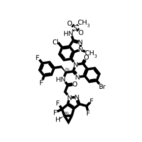 Cn1nc(NS(C)(=O)=O)c2c(Cl)ccc(-n3c([C@H](Cc4cc(F)cc(F)c4)NC(=O)Cn4nc(C(F)F)c5c4C(F)(F)[C@@H]4CC54)nc4cc(Br)ccc4c3=O)c21